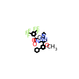 COc1ccc(C2CCCCC2)cc1-c1cnc(N2CCC2)nc1CN1C(=O)O[C@H](c2cc(C(F)(F)F)cc(C(F)(F)F)c2)[C@@H]1C